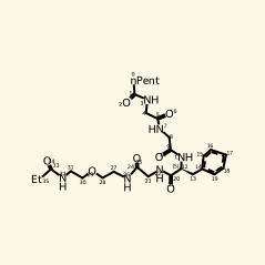 CCCCCC(=O)NCC(=O)NCC(=O)N[C@@H](Cc1ccccc1)C(=O)NCC(=O)NCCOCCNC(=O)CC